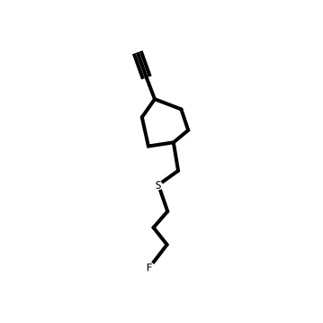 C#CC1CCC(CSCCCF)CC1